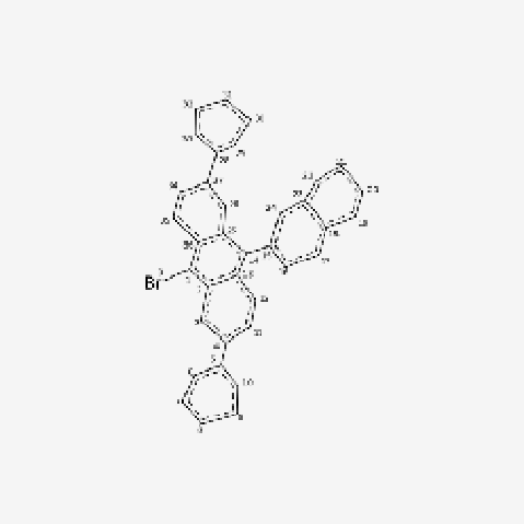 Brc1c2cc(-c3ccccc3)ccc2c(-c2ccc3ccccc3c2)c2cc(-c3ccccc3)ccc12